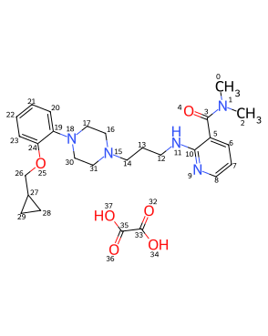 CN(C)C(=O)c1cccnc1NCCCN1CCN(c2ccccc2OCC2CC2)CC1.O=C(O)C(=O)O